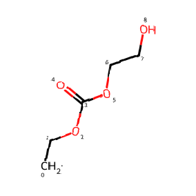 [CH2]COC(=O)OCCO